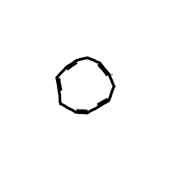 [C]1=CCC=CC=CCC=CC=CC1